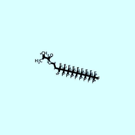 C=C(C)C(=O)OCCC(F)(F)C(F)(F)C(F)(F)C(F)(F)C(F)(F)C(F)(F)C(F)(F)C(F)(F)C(F)(F)F